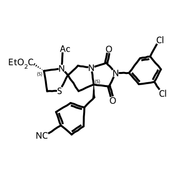 CCOC(=O)[C@H]1CSC2(CN3C(=O)N(c4cc(Cl)cc(Cl)c4)C(=O)[C@]3(Cc3ccc(C#N)cc3)C2)N1C(C)=O